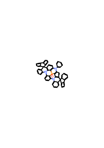 O=P12c3c4cccc3N3c5ccccc5C5(c6ccccc6-c6ccccc65)c5ccc(c1c53)N(c1ccccc1)c1ccc3c(c12)N4c1ccccc1C31c2ccccc2-c2ccccc21